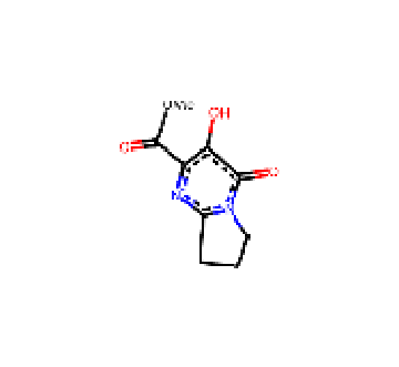 COC(=O)c1nc2n(c(=O)c1O)CCC2